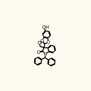 O=C1N(C(c2ccccc2)c2ccccc2)c2ccccc2C1(CO)C1Oc2ccc(O)cc2O1